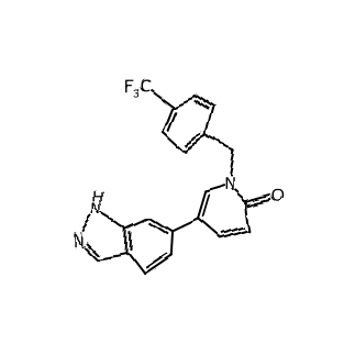 O=c1ccc(-c2ccc3cn[nH]c3c2)cn1Cc1ccc(C(F)(F)F)cc1